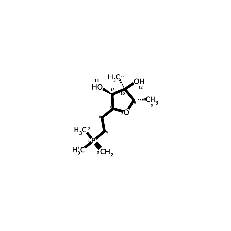 C=P(C)(C)CCC1O[C@@H](C)[C@](C)(O)[C@@H]1O